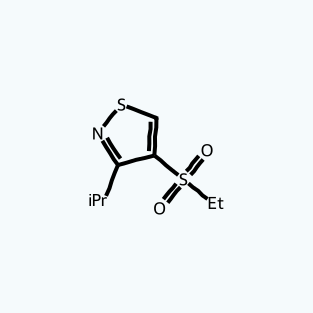 CCS(=O)(=O)c1csnc1C(C)C